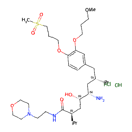 COCCCOc1cc(C[C@@H](C[C@H](N)[C@@H](O)C[C@H](C(=O)NCCN2CCOCC2)C(C)C)C(C)C)ccc1OCCCS(C)(=O)=O.Cl.Cl